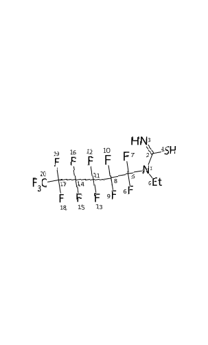 CCN(C(=N)S)C(F)(F)C(F)(F)C(F)(F)C(F)(F)C(F)(F)C(F)(F)F